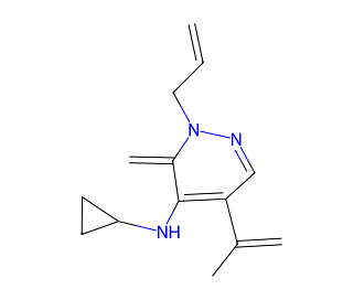 C=CCN1N=CC(C(=C)C)=C(NC2CC2)C1=C